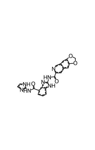 O=C(Nc1nc2c(C(=O)Nc3ncc[nH]3)cccc2[nH]1)c1cc2cc3c(cc2cn1)OCO3